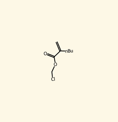 C=C(CCCC)C(=O)OCCl